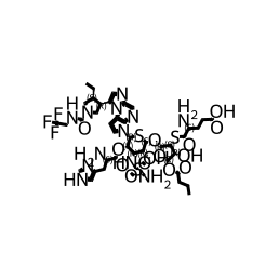 CCCC(=O)O[C@H]1O[C@H](O[C@H]2S[C@@H](n3ccc4c3ncc3ncc([C@H]5CN(C(=O)NCC(F)(F)F)C[C@H]5CC)n34)[C@@H](OC(=O)[C@@H](N)Cc3c[nH]cn3)[C@H](NS(N)(=O)=O)[C@H]2O)[C@@H](SC(=O)[C@@H](N)CCC(=O)O)[C@@H]1O